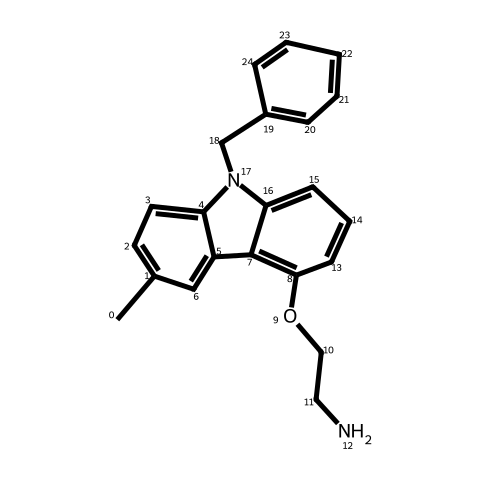 Cc1ccc2c(c1)c1c(OCCN)cccc1n2Cc1ccccc1